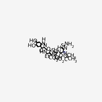 CCC(NC(=O)c1n[nH]c2cc(O)c(O)cc2c1=O)C1=C(C(=O)O)N2C(=O)C(NC(=O)/C(=N\OC(C)(C)C(=O)O)c3csc(N)n3)[C@@H]2SC1